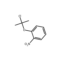 CC(C)(Cl)Oc1ccccc1[N+](=O)[O-]